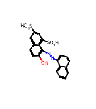 O=S(=O)(O)c1cc(S(=O)(=O)O)c2c(/N=N/c3cccc4ccccc34)c(O)ccc2c1